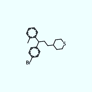 Cc1ccccc1C(CCC1CCSCC1)c1ccc(Br)cc1